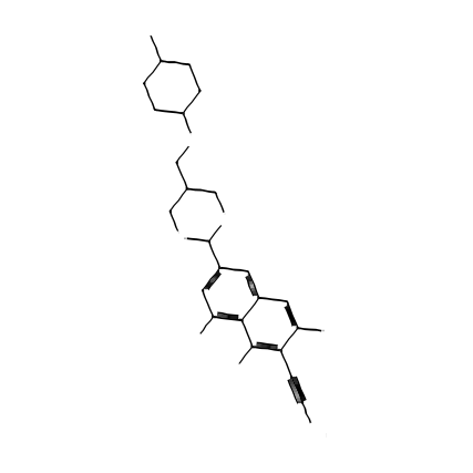 CC1CCC(OCC2COC(c3cc(F)c4c(F)c(C#CC(F)(F)F)c(F)cc4c3)OC2)CC1